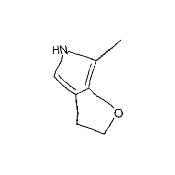 Cc1[nH]cc2c1OCC2